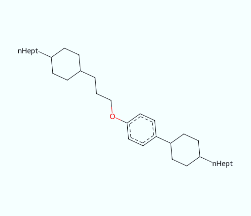 CCCCCCCC1CCC(CCCOc2ccc(C3CCC(CCCCCCC)CC3)cc2)CC1